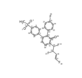 CS(=O)(=O)c1ccc(-c2cnn(C(F)C(F)C=CF)c(=O)c2-c2ccc(F)cc2)cc1